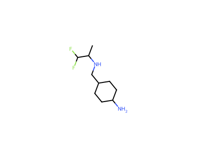 CC(NCC1CCC(N)CC1)C(F)F